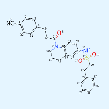 N#Cc1ccc(CCC(=O)N2CCCc3cc(NS(=O)(=O)CCc4ccccc4)ccc32)cc1